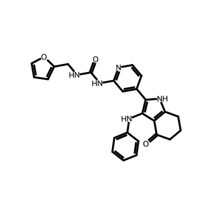 O=C(NCc1ccco1)Nc1cc(-c2[nH]c3c(c2Nc2ccccc2)C(=O)CCC3)ccn1